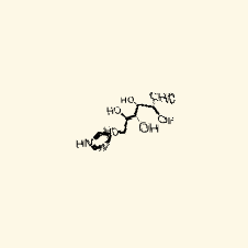 O=C[C@H](O)[C@@H](O)[C@H](O)[C@H](O)CO.c1c[nH]cn1